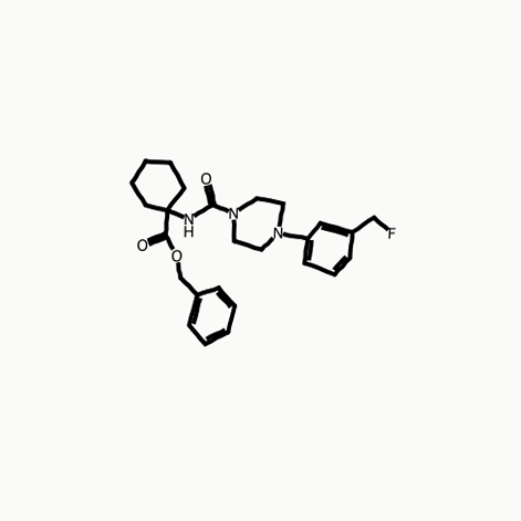 O=C(NC1(C(=O)OCc2ccccc2)CCCCC1)N1CCN(c2cccc(CF)c2)CC1